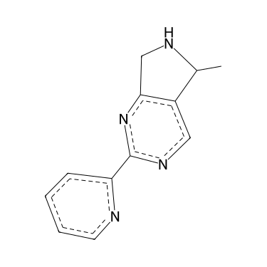 CC1NCc2nc(-c3ccccn3)ncc21